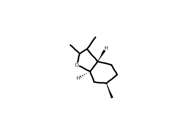 CC1O[C@@H]2C[C@H](C)CC[C@H]2C1C